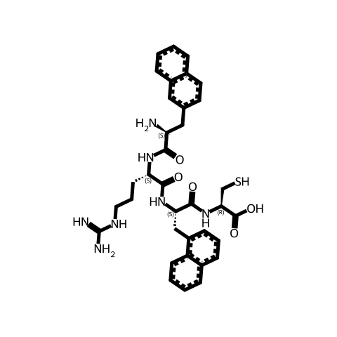 N=C(N)NCCC[C@H](NC(=O)[C@@H](N)Cc1ccc2ccccc2c1)C(=O)N[C@@H](Cc1cccc2ccccc12)C(=O)N[C@@H](CS)C(=O)O